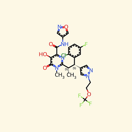 C[C@H](c1nc(C(=O)Nc2cnoc2)c(O)c(=O)n1C)[C@@H](c1cnn(CCOC(F)(F)F)c1)c1cc(F)ccc1Cl